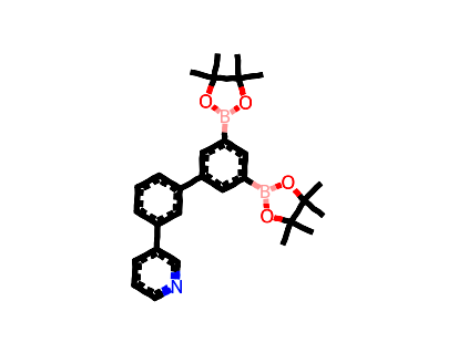 CC1(C)OB(c2cc(B3OC(C)(C)C(C)(C)O3)cc(-c3cccc(-c4cccnc4)c3)c2)OC1(C)C